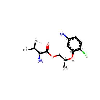 CC(C)[C@H](N)C(=O)OC[C@H](C)Oc1cc(N)ccc1Cl